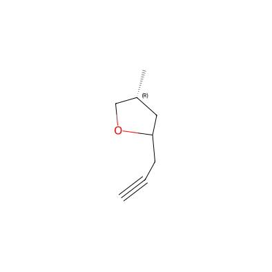 C#CCC1C[C@@H](C)CO1